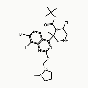 CN1CCC[C@H]1COc1nc(C2(C)CNCC(Cl)N2C(=O)OC(C)(C)C)c2ccc(Br)c(F)c2n1